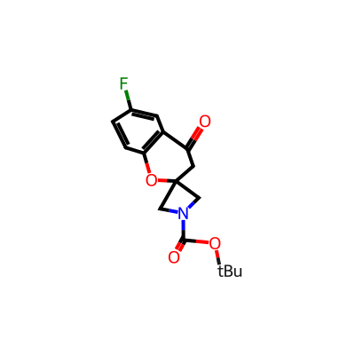 CC(C)(C)OC(=O)N1CC2(CC(=O)c3cc(F)ccc3O2)C1